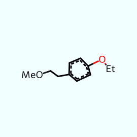 CCOc1ccc(CCOC)cc1